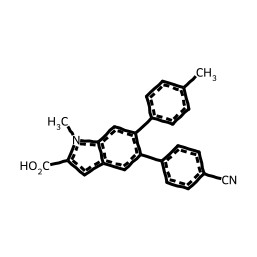 Cc1ccc(-c2cc3c(cc2-c2ccc(C#N)cc2)cc(C(=O)O)n3C)cc1